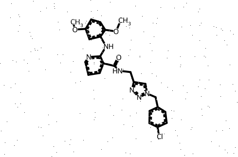 COc1ccc(OC)c(Nc2ncccc2C(=O)NCc2cn(Cc3ccc(Cl)cc3)nn2)c1